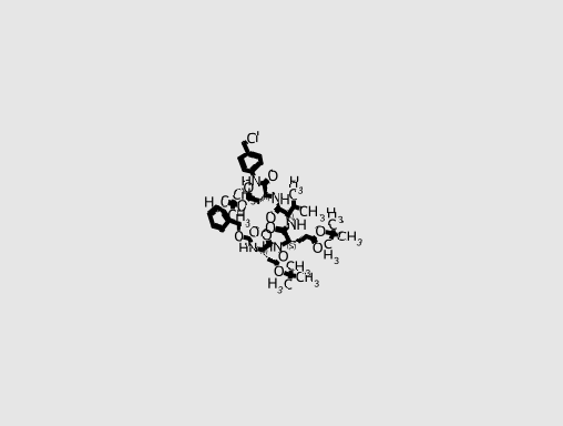 CC(C)[C@@H](NC(=O)[C@H](CCC(=O)OC(C)(C)C)NC(=O)[C@H](CC(=O)OC(C)(C)C)NC(=O)OCc1ccccc1)C(=O)N[C@H](CC(=O)OC(C)(C)C)C(=O)Nc1ccc(CCl)cc1